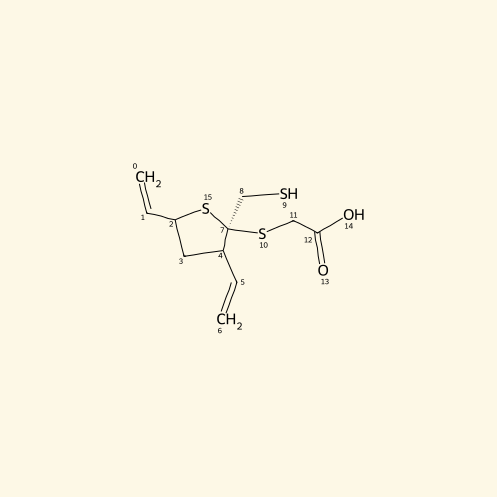 C=CC1CC(C=C)[C@](CS)(SCC(=O)O)S1